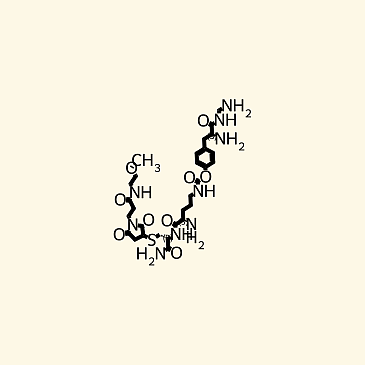 COCCNC(=O)CCN1C(=O)CC(SC[C@H](NC(=O)[C@@H](N)CCCNC(=O)Oc2ccc(C[C@H](N)C(=O)NCN)cc2)C(N)=O)C1=O